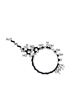 CC(=O)OCCSSCCOC(=O)NC1C(O)C(C)OC(O[C@H]2/C=C/C=C/C=C/C=C/C=C/C=C/C=C/C(C)[C@@H](O)[C@@H](C)[C@H](C)CC(=O)C[C@H](O)C[C@H](O)CC[C@@H](O)[C@H](O)C[C@H](O)C[C@]3(O)C[C@H](O)[C@@H](C(=O)O)[C@H](C2)O3)C1O